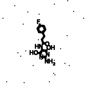 Nc1nc(O)c(NC(=O)CCc2ccc(F)cc2)c(O)n1